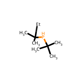 CCC(C)(C)PC(C)(C)C